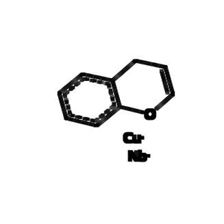 C1=COc2ccccc2C1.[Cu].[Nb]